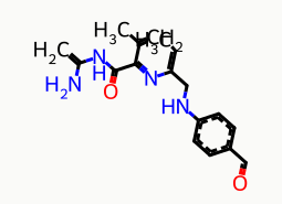 C=C(N)NC(=O)/C(=N/C(=C\C)CNc1ccc(C=O)cc1)C(=C)C